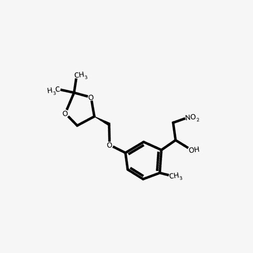 Cc1ccc(OC[C@H]2COC(C)(C)O2)cc1C(O)C[N+](=O)[O-]